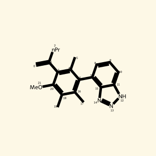 C=C(CCC)c1c(C)c(-c2cccc3[nH]nnc23)c(C)c(C)c1OC